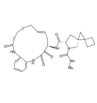 CC(C)(C)NC(=O)N1C[C@]2(C[C@H]1C(=O)N[C@@H]1C/C=C/CCCCC(=O)Nc3ccccc3NC(=O)C1=O)CC21CCC1